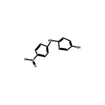 O=[N+]([O-])c1ccc(Nc2ccc(S)cc2)cc1